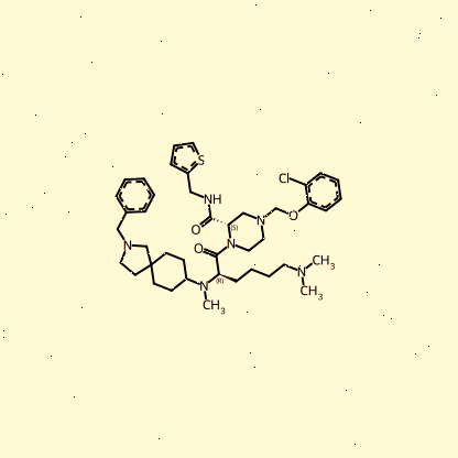 CN(C)CCCC[C@H](C(=O)N1CCN(COc2ccccc2Cl)C[C@H]1C(=O)NCc1cccs1)N(C)C1CCC2(CC1)CCN(Cc1ccccc1)C2